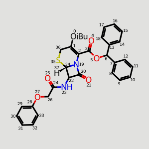 CC(C)COC1=C(C(=O)OC(c2ccccc2)c2ccccc2)N2C(=O)C(NC(=O)COc3ccccc3)[C@@H]2SC1